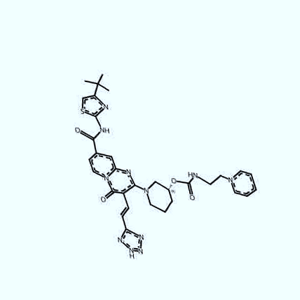 CC(C)(C)c1csc(NC(=O)c2ccn3c(=O)c(C=Cc4nn[nH]n4)c(N4CCC[C@@H](OC(=O)NCC[n+]5ccccc5)C4)nc3c2)n1